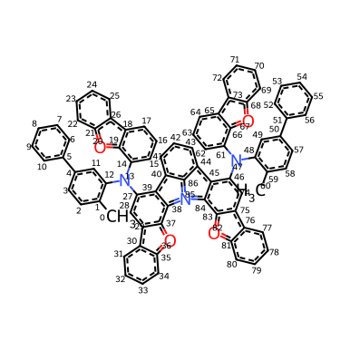 Cc1ccc(-c2ccccc2)cc1N(c1cccc2c1oc1ccccc12)c1cc2c3ccccc3oc2c2c1c1cccc3c4c(N(c5cc(-c6ccccc6)ccc5C)c5cccc6c5oc5ccccc56)cc5c6ccccc6oc5c4n2c13